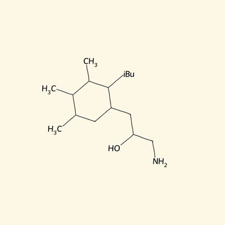 CCC(C)C1C(CC(O)CN)CC(C)C(C)C1C